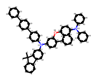 CC1(C)c2ccccc2-c2ccc(N(c3ccc(-c4ccc(-c5ccccc5)cc4)cc3)c3ccc4c(c3)Oc3ccc(N(c5ccccc5)c5ccccc5)c5cccc-4c35)cc21